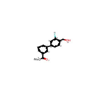 COC(=O)c1cccc(-c2ccc(CO)c(F)c2)c1